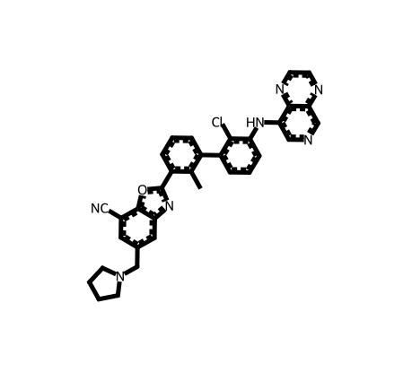 Cc1c(-c2nc3cc(CN4CCCC4)cc(C#N)c3o2)cccc1-c1cccc(Nc2cncc3nccnc23)c1Cl